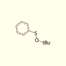 CC(C)(C)OSc1ccccc1